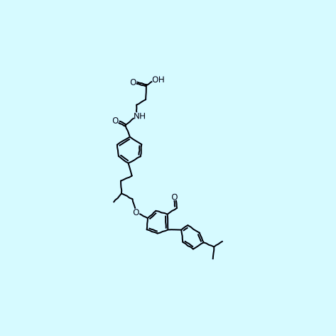 CC(CCc1ccc(C(=O)NCCC(=O)O)cc1)COc1ccc(-c2ccc(C(C)C)cc2)c(C=O)c1